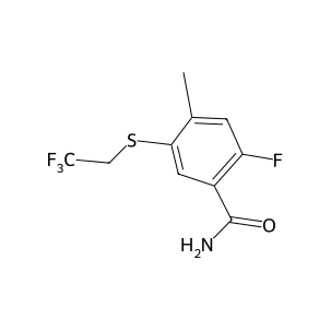 Cc1cc(F)c(C(N)=O)cc1SCC(F)(F)F